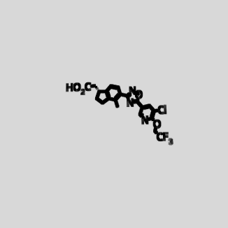 Cc1c(-c2noc(-c3cnc(OCC(F)(F)F)c(Cl)c3)n2)ccc2c1CC[C@@H]2CC(=O)O